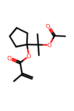 C=C(C)C(=O)OC1(C(C)(C)OC(C)=O)CCCC1